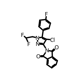 O=C1c2ccccc2C(=O)N1c1nn(CC(F)F)c(-c2ccc(F)cc2)c1Cl